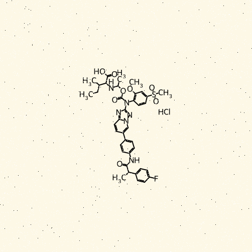 CCC(C)[C@H](NC(C)OC(=O)N(c1nc2ccc(-c3ccc(NC(=O)[C@H](C)c4ccc(F)cc4)cc3)cn2n1)c1ccc(S(C)(=O)=O)cc1OC)C(=O)O.Cl